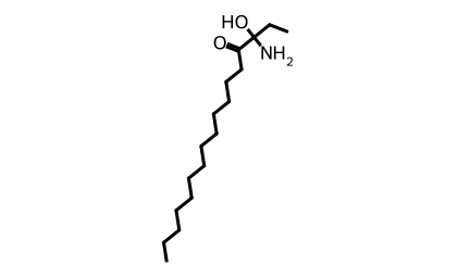 CCCCCCCCCCCCCC(=O)C(N)(O)CC